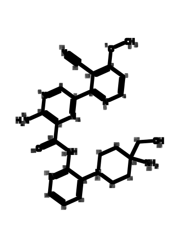 COc1ccnc(-c2cnc(N)c(C(=O)Nc3ncccc3N3CCC(N)(CO)CC3)n2)c1C#N